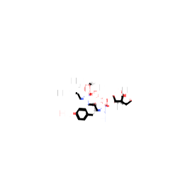 CC(C)CN(C[C@@H](O)[C@@H](Cc1ccc(O)cc1)NC(=O)O[C@H]1CO[C@H]2OCC[C@H]21)C(=O)OC(C)(C)C